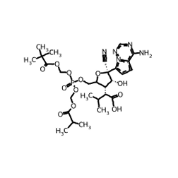 CC(C)C(=O)OCOP(=O)(OCOC(=O)C(C)(C)C)OCC1O[C@@](C#N)(c2ccc3c(N)ncnn23)[C@H](O)[C@@H]1C(C(=O)O)C(C)C